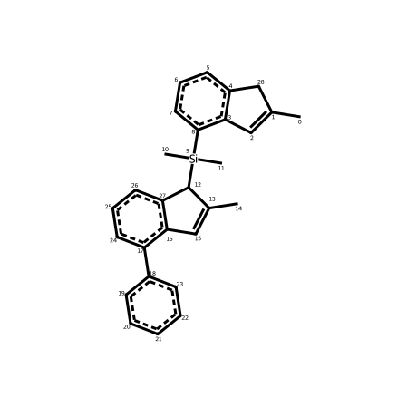 CC1=Cc2c(cccc2[Si](C)(C)C2C(C)=Cc3c(-c4ccccc4)cccc32)C1